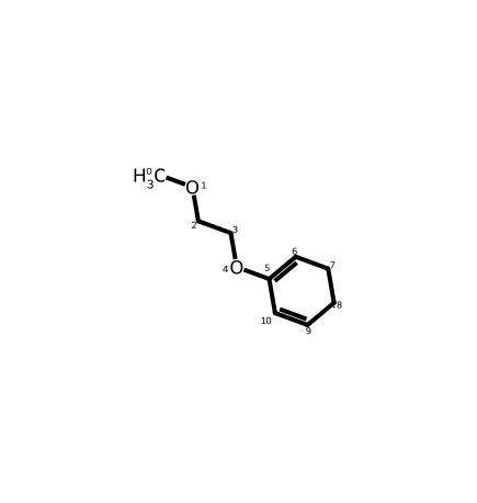 COCCOC1=CC[CH]C=C1